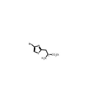 CCOC(=O)[C@@H](N)Cc1nc(Br)cs1